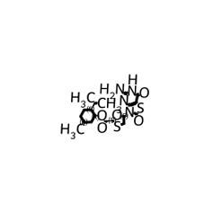 CC(C)[C@@H]1CC[C@@H](C)C[C@H]1OC(=O)[C@H]1O[C@H](n2c(=O)sc3c(=O)[nH]c(N)nc32)CS1